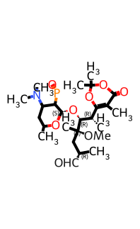 CO[C@](C)(C[C@@H](C)C=O)[C@H](O[C@@H]1OC(C)CC(N(C)C)C1P=O)[C@@H](C)C1=C(C)C(=O)OC(C)(C)O1